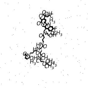 C/C=C/[C@@]1(O)C(=O)OCc2c1cc1n(c2=O)Cc2c-1nc1cc(F)c(OC)cc1c2CN(CCO)C(=O)CCCNC(=O)[C@H](CCC(=O)NC(C)(C)CCOC(C)(C)C)NC(=O)CCCN1C(=O)C=CC1=O